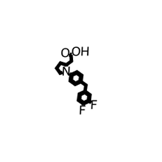 O=C(O)CC1CCCN1c1ccc(Cc2ccc(F)c(F)c2)cc1